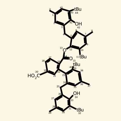 Cc1cc(Cc2cc(C)cc(C(C)(C)C)c2OC(=O)c2ccc(C(=O)O)cc2-c2c(Cc3cc(C)cc(C(C)(C)C)c3O)cc(C)cc2C(C)(C)C)c(O)c(C(C)(C)C)c1